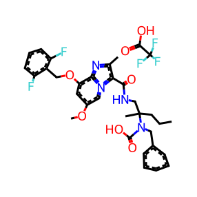 CCCC(C)(CNC(=O)c1c(C)nc2c(OCc3c(F)cccc3F)cc(OC)cn12)N(Cc1ccccc1)C(=O)O.O=C(O)C(F)(F)F